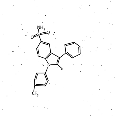 Cc1c(-c2ccccc2)c2cc(S(N)(=O)=O)ccc2n1-c1ccc(C(F)(F)F)cc1